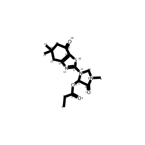 CCC(=O)OC1C(=O)N(C)CN1c1nc2c(s1)C(=O)CC(C)(C)C2